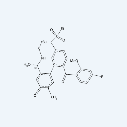 CCS(=O)(=O)Cc1ccc(C(=O)c2ccc(F)cc2OC)c(-c2cn(C)c(=O)cc2[C@H](C)NSC(C)(C)C)c1